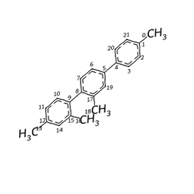 Cc1ccc(-c2ccc(-c3ccc(C)cc3C)c(C)c2)cc1